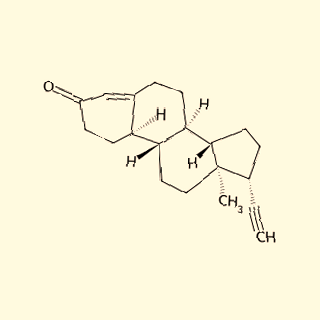 C#C[C@H]1CC[C@H]2[C@@H]3CCC4=CC(=O)CC[C@@H]4[C@H]3CC[C@]12C